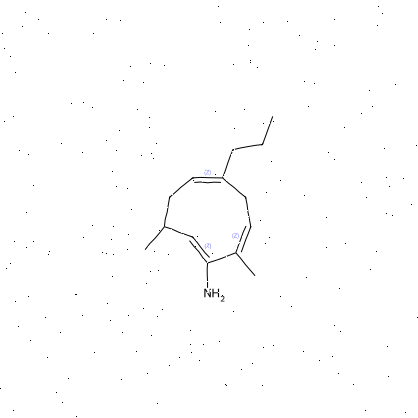 CCC/C1=C/CC(C)/C=C(N)/C(C)=C\C1